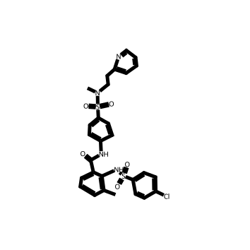 Cc1cccc(C(=O)Nc2ccc(S(=O)(=O)N(C)CCc3ccccn3)cc2)c1NS(=O)(=O)c1ccc(Cl)cc1